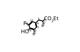 CCOC(=O)C(F)Cc1cc(F)c(O)c(F)c1